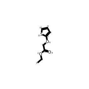 CCOC(=O)COc1cccs1